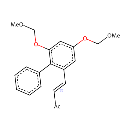 COCOc1cc(/C=C/C(C)=O)c(-c2ccccc2)c(OCOC)c1